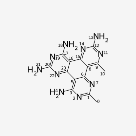 Cc1nc(N)c2c(n1)c1c(C)nc(N)nc1c1c(N)nc(N)nc21